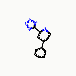 c1ccc(-c2ccnc(-c3nnn[nH]3)c2)cc1